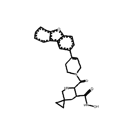 O=C(NO)C1CC2(CC2)CNC1C(=O)N1CC=C(c2ccc3oc4ccccc4c3c2)CC1